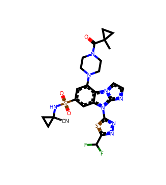 CC1(C(=O)N2CCN(c3cc(S(=O)(=O)NC4(C#N)CC4)cc4c3n3ccnc3n4-c3nnc(C(F)F)s3)CC2)CC1